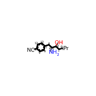 CC(C)C[C@H](O)[C@H](N)Cc1ccc(C#N)cc1